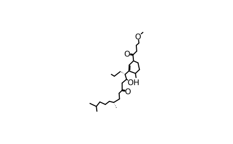 CCC[C@H](C1=CC(C(=O)CCCOC)CCC1C)C(O)CC(=O)CC[C@H](C)CCCC(C)C